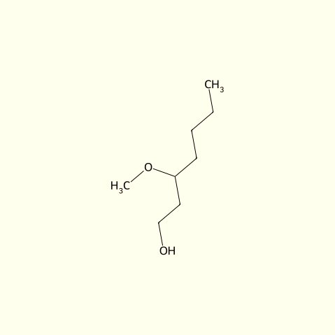 CCCCC(CCO)OC